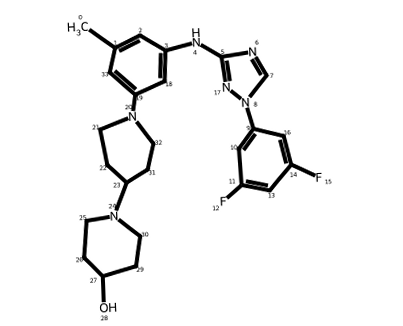 Cc1cc(Nc2ncn(-c3cc(F)cc(F)c3)n2)cc(N2CCC(N3CCC(O)CC3)CC2)c1